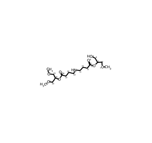 COCC(CO)OC(=O)CCCNCCCC(=O)OC(COC)COC